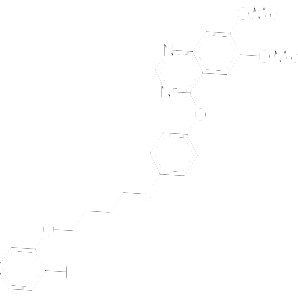 COc1cc2ncnc(Oc3ccc(SCCCCOc4ccccc4F)cc3)c2cc1OC